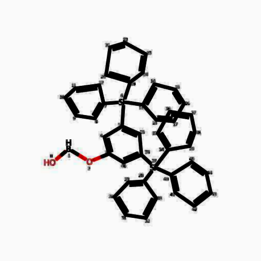 OBOc1cc([Si](c2ccccc2)(c2ccccc2)c2ccccc2)cc([Si](c2ccccc2)(c2ccccc2)c2ccccc2)c1